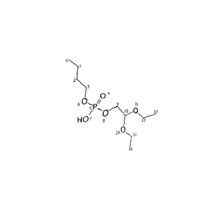 CCCCOP(=O)(O)OCC(OCC)OCC